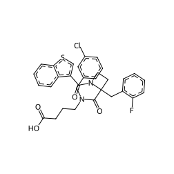 O=C(O)CCCN(Cc1cccc(Cl)c1)C(=O)C1(Cc2ccccc2F)CCN1C(=O)c1csc2ccccc12